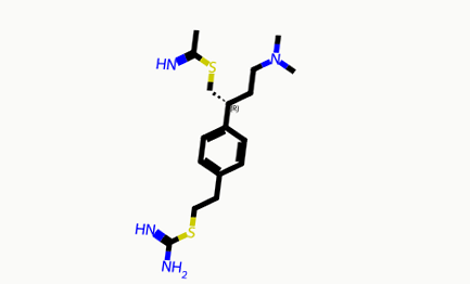 CC(=N)SC[C@H](CCN(C)C)c1ccc(CCSC(=N)N)cc1